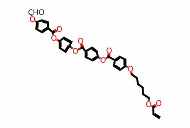 C=CC(=O)OCCCCCCOc1ccc(C(=O)Oc2ccc(C(=O)Oc3ccc(OC(=O)c4ccc(OC=O)cc4)cc3)cc2)cc1